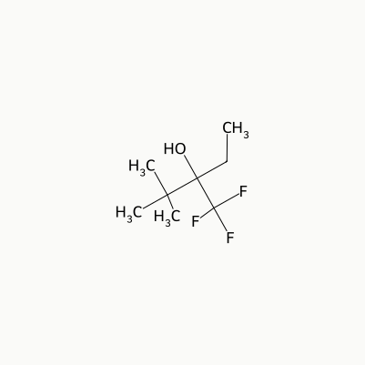 CCC(O)(C(C)(C)C)C(F)(F)F